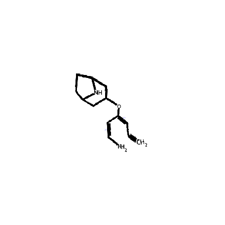 C=C/C=C(\C=C/N)OC1CC2CCC(C1)N2